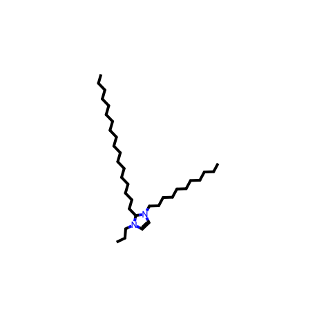 CCCCCCCCCCCCCCCCCCC1N(CCC)C=CN1CCCCCCCCCCC